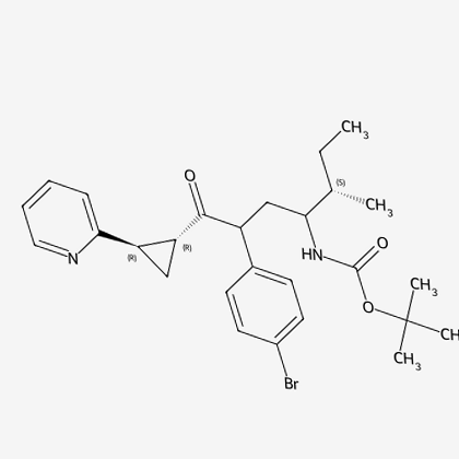 CC[C@H](C)C(CC(C(=O)[C@@H]1C[C@H]1c1ccccn1)c1ccc(Br)cc1)NC(=O)OC(C)(C)C